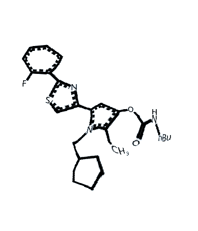 CCCCNC(=O)Oc1cc(-c2csc(-c3ccccc3F)n2)n(CC2CCCCC2)c1C